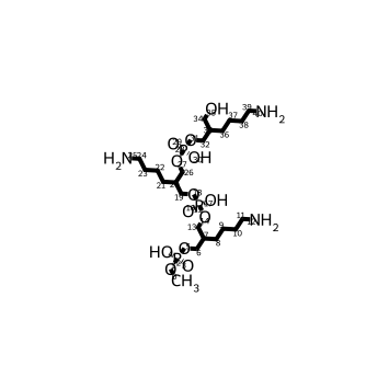 COP(=O)(O)OCC(CCCCN)COP(=O)(O)OCC(CCCCN)COP(=O)(O)OCC(CO)CCCCN